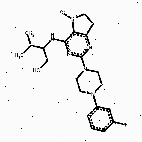 CC(C)C(CO)Nc1nc(N2CCN(c3cccc(F)c3)CC2)nc2c1[S+]([O-])CC2